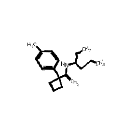 C=C(NC(CC)CCC)C1(c2ccc(C)cc2)CCC1